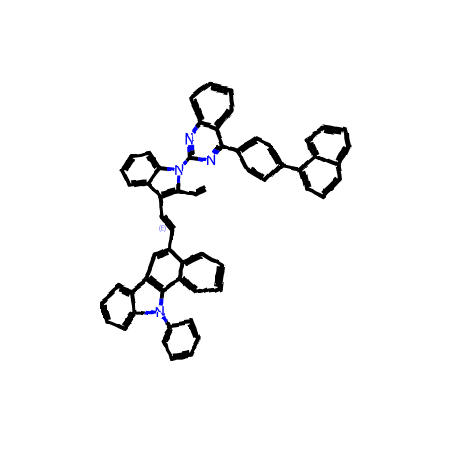 C=Cc1c(/C=C/c2cc3c4ccccc4n(-c4ccccc4)c3c3ccccc23)c2ccccc2n1-c1nc(-c2ccc(-c3cccc4ccccc34)cc2)c2ccccc2n1